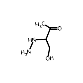 CC(=O)C(CO)NN